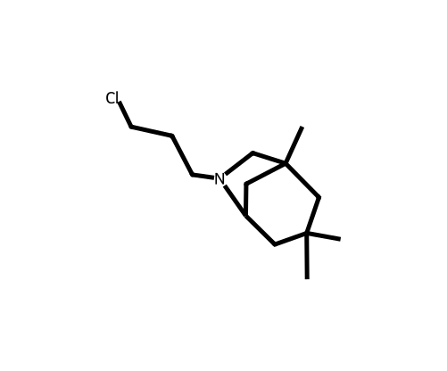 CC1(C)CC2CC(C)(CN2CCCCl)C1